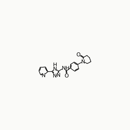 O=C(Nc1nnc(-c2ccccn2)[nH]1)c1ccc(N2CCCCC2=O)cc1